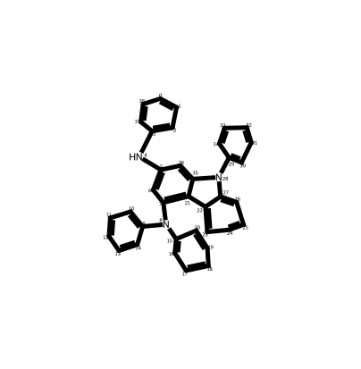 c1ccc(Nc2cc(N(c3ccccc3)c3ccccc3)c3c4ccccc4n(-c4ccccc4)c3c2)cc1